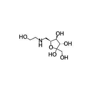 OCCNC[C@@H]1OC(O)(CO)[C@@H](O)[C@@H]1O